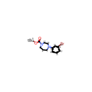 CC(C)(C)OC(=O)N1CCCN(c2cc[c]c(Br)c2)CC1